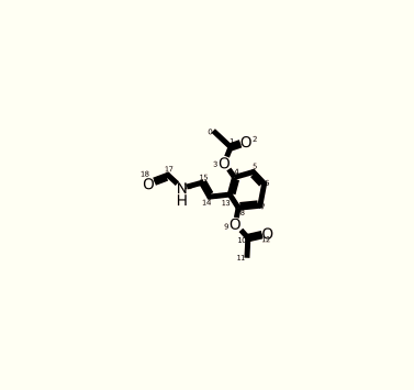 CC(=O)Oc1cccc(OC(C)=O)c1C=CNC=O